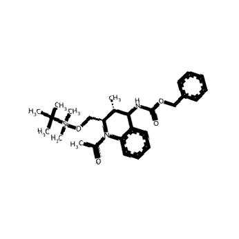 CC(=O)N1c2ccccc2C(NC(=O)OCc2ccccc2)[C@@H](C)[C@@H]1CO[Si](C)(C)C(C)(C)C